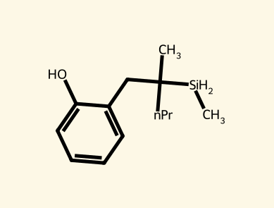 CCCC(C)(Cc1ccccc1O)[SiH2]C